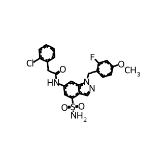 COc1ccc(Cn2ncc3c(S(N)(=O)=O)cc(NC(=O)Cc4ccccc4Cl)cc32)c(F)c1